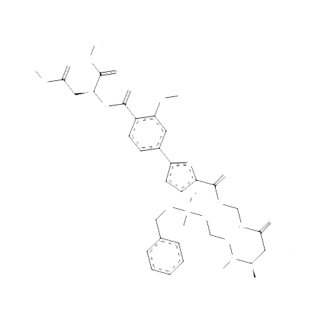 BOC(=O)C[C@H](NC(=O)c1ccc(-c2ccc(C(=O)NCNC(=O)[C@H](CCCCC)[C@@H](CC)N(C=O)OCO[PH](O)(O)OCc3ccccc3)o2)cc1OCC)C(=O)OCCCC